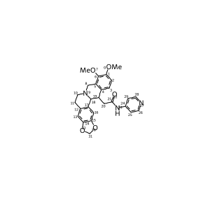 COc1ccc2c(c1OC)CN1CCc3cc4c(cc3C1C2CC(=O)Nc1ccncc1)OCO4